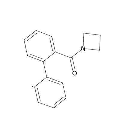 O=C(c1ccccc1-c1[c]cccc1)N1CCC1